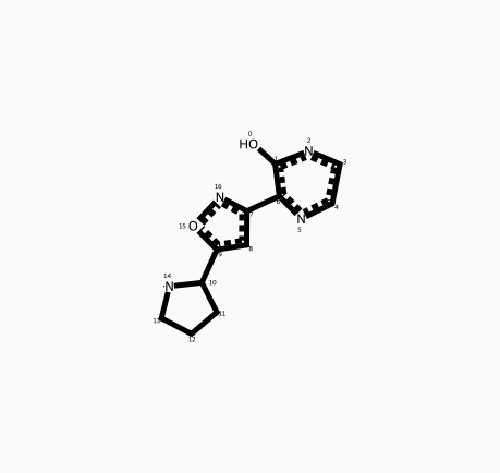 Oc1nccnc1-c1cc(C2CCC[N]2)on1